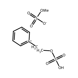 COS(=O)(=O)O.COS(=O)(=O)[O-].C[n+]1ccccc1